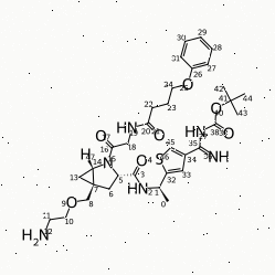 C[C@@H](NC(=O)[C@@H]1C[C@]2(COCCN)C[C@@H]2N1C(=O)CNC(=O)CCCOc1ccccc1)c1cc(C(=N)NC(=O)OC(C)(C)C)cs1